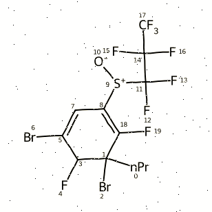 CCCC1(Br)[C](F)C(Br)=CC([S+]([O-])C(F)(F)C(F)(F)C(F)(F)F)=C1F